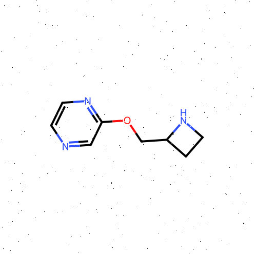 c1cnc(OCC2CCN2)cn1